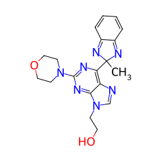 CC1(c2nc(N3CCOCC3)nc3c2ncn3CCO)N=c2ccccc2=N1